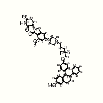 COc1cc(N2CCN(CCCC(F)(F)COc3ccc([C@@H]4c5ccc(O)cc5CC[C@@H]4c4ccccc4)cc3)CC2)cc2c1C(=O)N(C1CCC(=O)NC1=O)C2